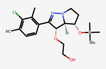 Cc1c(C2=NN3CC[C@H](O[Si](C)(C)C(C)(C)C)[C@H]3[C@@H]2OCCO)ccc(C#N)c1Cl